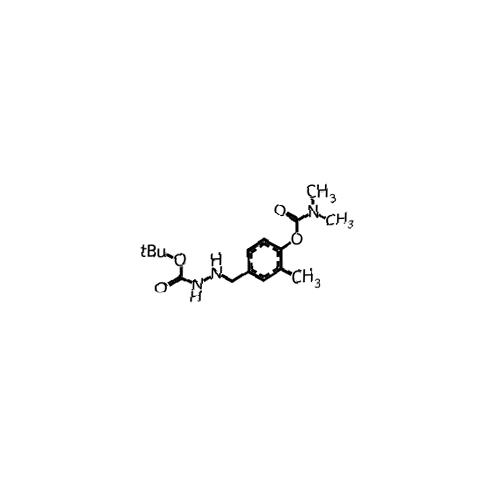 Cc1cc(CNNC(=O)OC(C)(C)C)ccc1OC(=O)N(C)C